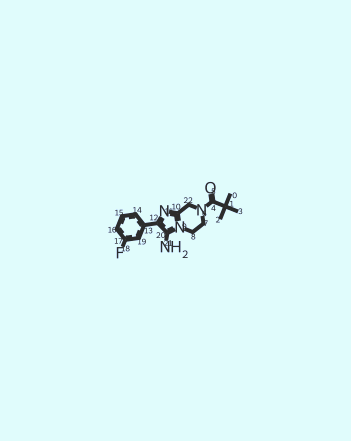 CC(C)(C)C(=O)N1CCn2c(nc(-c3cccc(F)c3)c2N)C1